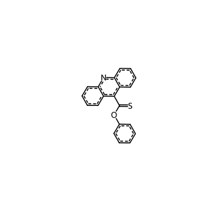 S=C(Oc1ccccc1)c1c2ccccc2nc2ccccc12